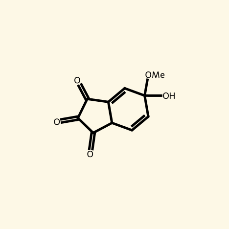 COC1(O)C=CC2C(=O)C(=O)C(=O)C2=C1